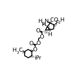 CC(C)[C@@H]1CC[C@@H](C)C[C@H]1OC(=O)OCOC(=O)[C@H]1[C@@H]2C[C@H](F)[C@@](N)(C(=O)O)[C@@H]21